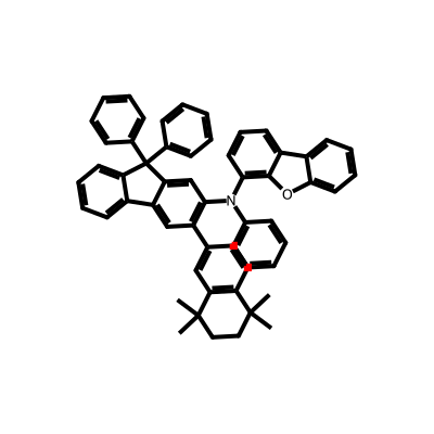 Cc1cc2c(cc1-c1cc3c(cc1N(c1ccccc1)c1cccc4c1oc1ccccc14)C(c1ccccc1)(c1ccccc1)c1ccccc1-3)C(C)(C)CCC2(C)C